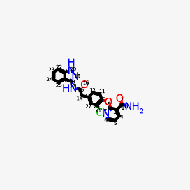 NC(=O)c1cccnc1Oc1ccc(CC(=O)Nc2n[nH]c3ccccc23)cc1Cl